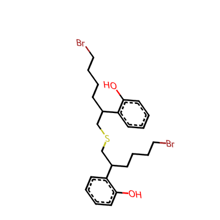 Oc1ccccc1C(CCCCBr)CSCC(CCCCBr)c1ccccc1O